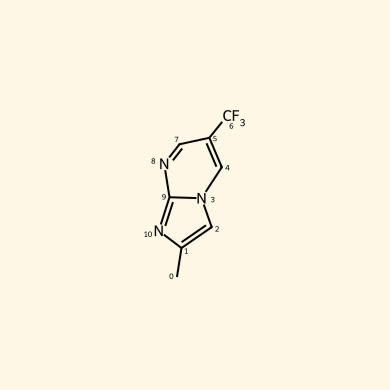 Cc1cn2cc(C(F)(F)F)cnc2n1